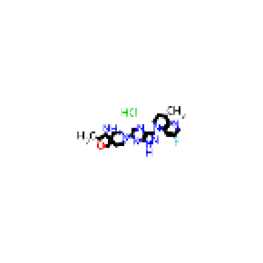 C[C@@H]1CCN(c2n[nH]c3nc(N4CCC5(CC4)CO[C@@H](C)[C@H]5N)cnc23)c2cc(F)cnc21.Cl